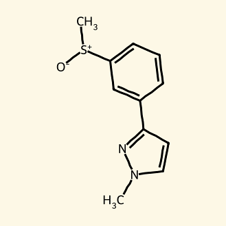 Cn1ccc(-c2cccc([S+](C)[O-])c2)n1